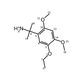 CCOc1cc(C(C)(C)N)c(OC)cc1OC